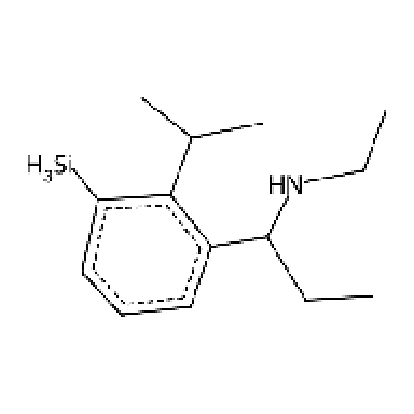 CCNC(CC)c1cccc([SiH3])c1C(C)C